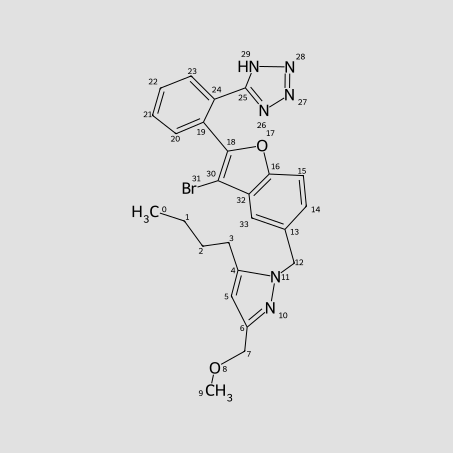 CCCCc1cc(COC)nn1Cc1ccc2oc(-c3ccccc3-c3nnn[nH]3)c(Br)c2c1